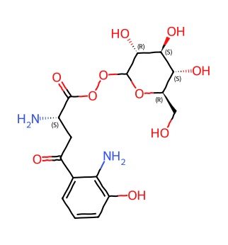 Nc1c(O)cccc1C(=O)C[C@H](N)C(=O)OOC1O[C@H](CO)[C@@H](O)[C@H](O)[C@H]1O